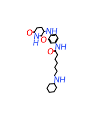 O=C1CCC(Nc2ccc(NC(=O)CCCCCCNC3CCCCC3)cc2)C(=O)N1